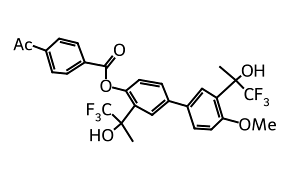 COc1ccc(-c2ccc(OC(=O)c3ccc(C(C)=O)cc3)c(C(C)(O)C(F)(F)F)c2)cc1C(C)(O)C(F)(F)F